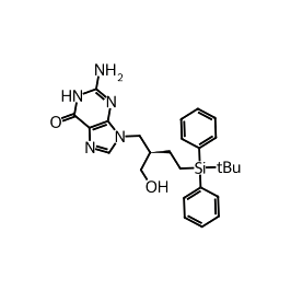 CC(C)(C)[Si](CC[C@@H](CO)Cn1cnc2c(=O)[nH]c(N)nc21)(c1ccccc1)c1ccccc1